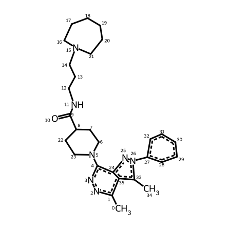 Cc1nnc(N2CCC(C(=O)NCCCN3CCCCCC3)CC2)c2nn(-c3ccccc3)c(C)c12